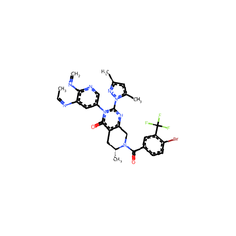 C=Nc1ncc(-n2c(-n3nc(C)cc3C)nc3c(c2=O)C[C@@H](C)N(C(=O)c2ccc(Br)c(C(F)(F)F)c2)C3)cc1/N=C\C